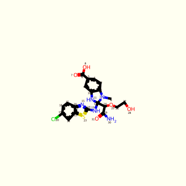 CN1c2ccc(C(=O)O)cc2NC1(Nc1nc2ccc(Cl)cc2s1)C(OCCO)C(N)=O